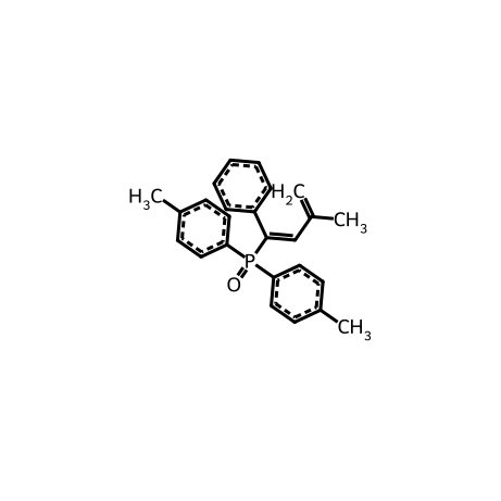 C=C(C)/C=C(\c1ccccc1)P(=O)(c1ccc(C)cc1)c1ccc(C)cc1